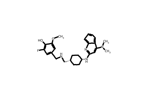 COc1cc(CNC[C@H]2CC[C@@H](Nc3cc(N(C)C)c4ccccc4n3)CC2)cc(F)c1O